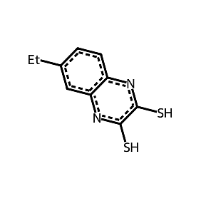 CCc1ccc2nc(S)c(S)nc2c1